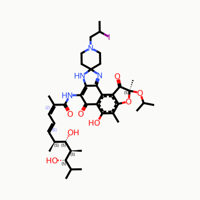 C/C(=C/C=C/[C@H](C)[C@H](O)[C@@H](C)[C@@H](O)C(C)C)C(=O)NC1=C2NC3(CCN(CC(C)I)CC3)N=C2c2c(c(O)c(C)c3c2C(=O)[C@@](C)(OC(C)C)O3)C1=O